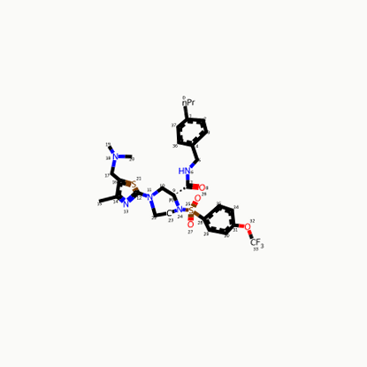 CCCc1ccc(CNC(=O)[C@H]2CN(c3nc(C)c(CN(C)C)s3)CCN2S(=O)(=O)c2ccc(OC(F)(F)F)cc2)cc1